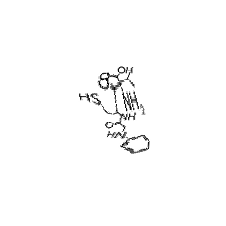 CC(C)C(N)(C(=O)O)C(=O)C(CS)NC(=O)CNc1ccccc1